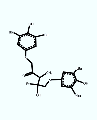 CCC(O)(CSc1cc(C(C)(C)C)c(O)c(C(C)(C)C)c1)C(C)C(=O)CSc1cc(C(C)(C)C)c(O)c(C(C)(C)C)c1